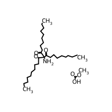 CCCCCCCCCC(=O)C(N)(C(=O)CCCCCCCCC)C(=O)CCCCCCCCC.COC(=O)O